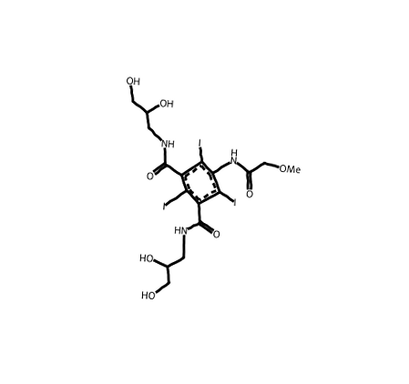 COCC(=O)Nc1c(I)c(C(=O)NCC(O)CO)c(I)c(C(=O)NCC(O)CO)c1I